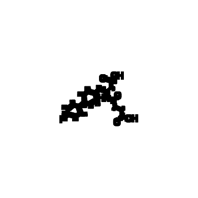 O=C(O)CCC(=O)N[C@@H](CC(=O)O)Cc1ccc(-c2ccc(F)cc2)cc1